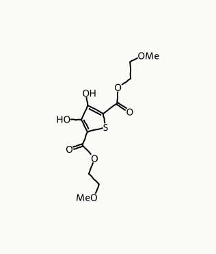 COCCOC(=O)c1sc(C(=O)OCCOC)c(O)c1O